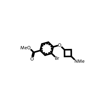 CNC1CC(Oc2ccc(C(=O)OC)cc2Br)C1